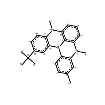 Cc1ccc2c(c1)N(C)c1cccc3c1B2c1cc(C(C)(C)C)ccc1N3C